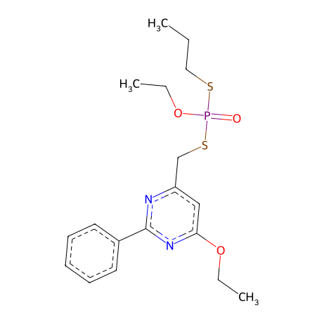 CCCSP(=O)(OCC)SCc1cc(OCC)nc(-c2ccccc2)n1